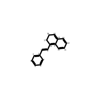 C(=Cc1ccccc1)C1=c2ccccc2=CCC1